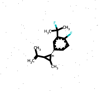 C=C(C)C1C(C)[C@H]1c1ccc(F)c(C(C)(C)F)c1